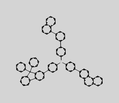 c1ccc(C2(c3ccccc3)c3ccccc3-c3ccc(-c4ccc(N(c5ccc(-c6cccc(-c7cccc8ccccc78)c6)cc5)c5ccc(-c6ccc7c(ccc8ccccc87)c6)cc5)cc4)cc32)cc1